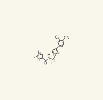 Cc1nc(C(=O)N[C@@H](C)Cn2ccc(-c3ccc(C#N)c(Cl)c3)n2)cn1C